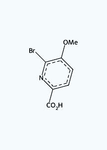 COc1ccc(C(=O)O)nc1Br